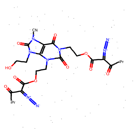 CC(C)C(=O)C(=[N+]=[N-])C(=O)OCCn1c(=O)c2c(n(CCOC(=O)C(=[N+]=[N-])C(=O)C(C)C)c1=O)n(CCO)c(=O)n2C#N